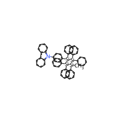 C[Si]1(c2ccccc2)[Si](c2ccccc2)(c2ccccc2)[Si](c2ccccc2)(c2ccc(-n3c4ccccc4c4ccccc43)cc2)[Si]1(c1ccccc1)c1ccccc1